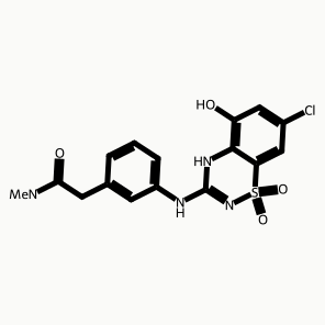 CNC(=O)Cc1cccc(NC2=NS(=O)(=O)c3cc(Cl)cc(O)c3N2)c1